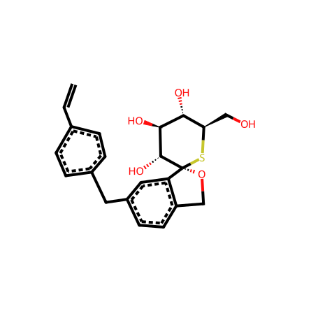 C=Cc1ccc(Cc2ccc3c(c2)[C@]2(OC3)S[C@H](CO)[C@@H](O)[C@H](O)[C@H]2O)cc1